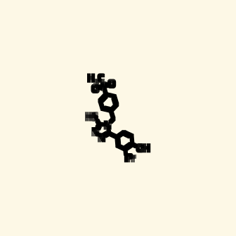 CC(C)c1cc(-c2nnc(S)n2Cc2ccc(S(C)(=O)=O)cc2)ccc1O